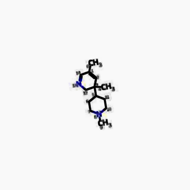 CC1=CC(C)(C2CCN(C)CC2)CN=C1